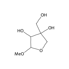 COC1OCC(O)(CO)C1O